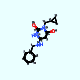 O=c1cc(NCc2ccccc2)[nH]c(=O)n1CC1CC1